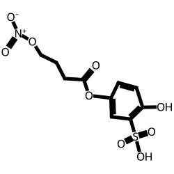 O=C(CCCO[N+](=O)[O-])Oc1ccc(O)c(S(=O)(=O)O)c1